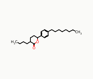 CCCCCCCCc1ccc(C2CCC(CCCC)C(=O)O2)cc1